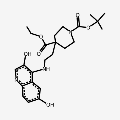 CCOC(=O)C1(CCNc2c(O)cnc3ccc(O)cc23)CCN(C(=O)OC(C)(C)C)CC1